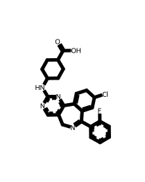 O=C(O)C1CCC(Nc2ncc3c(n2)C2=CCC(Cl)C=C2C(c2ccccc2F)=NC3)CC1